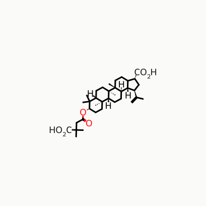 C=C(C)[C@@H]1C[C@@H](C(=O)O)C2CC[C@]3(C)[C@H](CC[C@@H]4[C@@]5(C)CC[C@H](OC(=O)CC(C)(C)C(=O)O)C(C)(C)[C@@H]5CC[C@]43C)[C@H]21